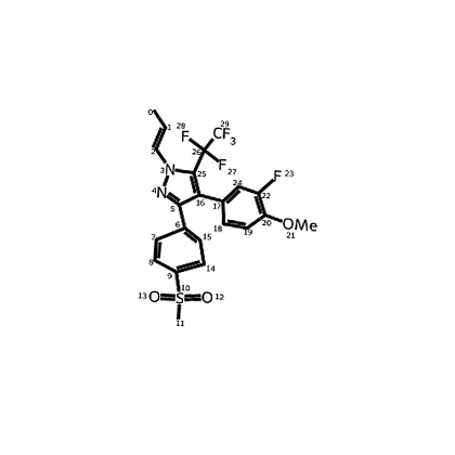 CC=Cn1nc(-c2ccc(S(C)(=O)=O)cc2)c(-c2ccc(OC)c(F)c2)c1C(F)(F)C(F)(F)F